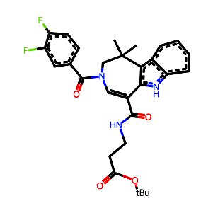 CC(C)(C)OC(=O)CCNC(=O)C1=CN(C(=O)c2ccc(F)c(F)c2)CC(C)(C)c2c1[nH]c1ccccc21